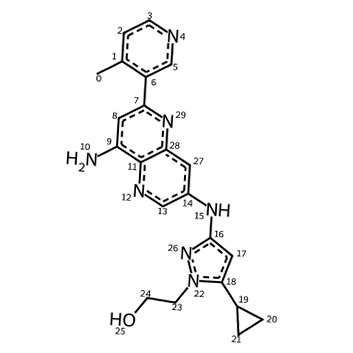 Cc1ccncc1-c1cc(N)c2ncc(Nc3cc(C4CC4)n(CCO)n3)cc2n1